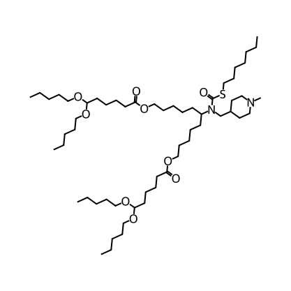 CCCCCCCSC(=O)N(CC1CCN(C)CC1)C(CCCCCOC(=O)CCCCC(OCCCCC)OCCCCC)CCCCCOC(=O)CCCCC(OCCCCC)OCCCCC